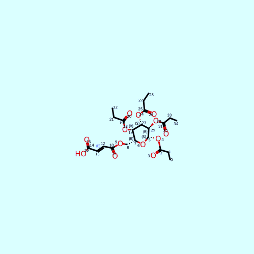 CCC(=O)O[C@@H]1O[C@H](COC(=O)/C=C/C(=O)O)[C@@H](OC(=O)CC)[C@H](OC(=O)CC)[C@H]1OC(=O)CC